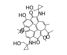 COc1c2c3c4c(c(NC5(CO)CC5)c(=O)c5c(O)cc(OC)c(c6c(OC)cc(NC7(CO)CC7)c(c1=O)c63)c54)C=C(C)C2C(C)=O